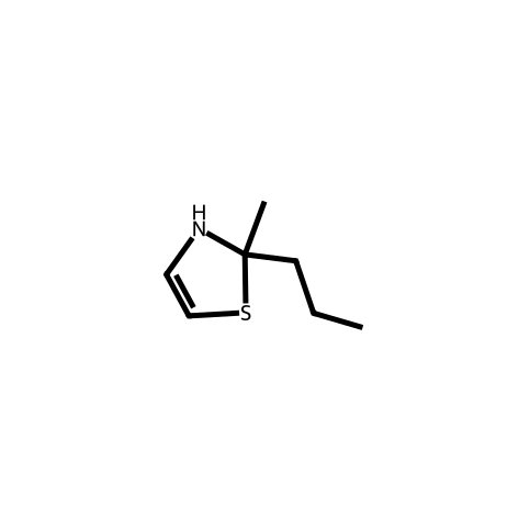 CCCC1(C)NC=CS1